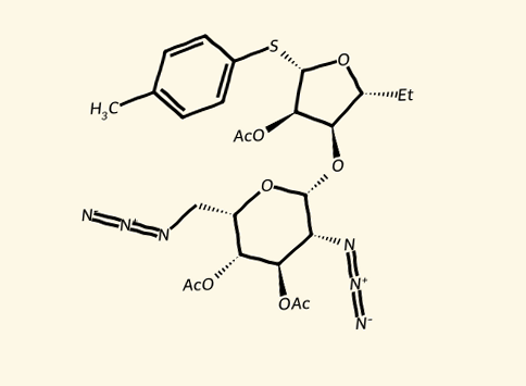 CC[C@H]1O[C@@H](Sc2ccc(C)cc2)[C@H](OC(C)=O)[C@@H]1O[C@H]1O[C@@H](CN=[N+]=[N-])[C@@H](OC(C)=O)[C@H](OC(C)=O)[C@H]1N=[N+]=[N-]